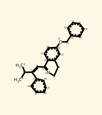 CC(C)C(=CC1=NCCc2cc(OCc3ccccc3)ccc21)c1ccccc1